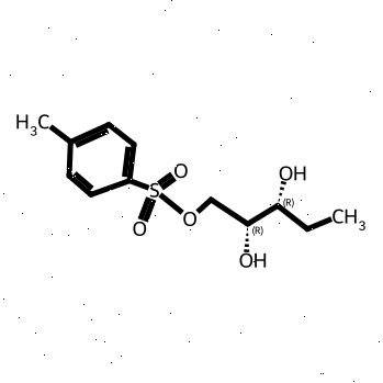 CC[C@@H](O)[C@H](O)COS(=O)(=O)c1ccc(C)cc1